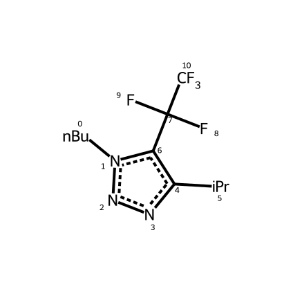 CCCCn1nnc(C(C)C)c1C(F)(F)C(F)(F)F